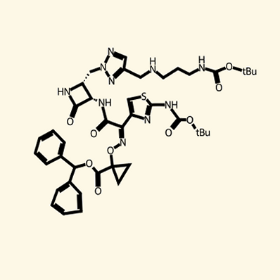 CC(C)(C)OC(=O)NCCCNCc1cnn(C[C@H]2NC(=O)[C@H]2NC(=O)/C(=N\OC2(C(=O)OC(c3ccccc3)c3ccccc3)CC2)c2csc(NC(=O)OC(C)(C)C)n2)n1